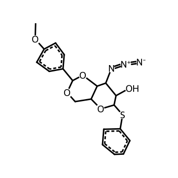 COc1ccc(C2OCC3OC(Sc4ccccc4)C(O)C(N=[N+]=[N-])C3O2)cc1